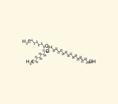 CCCCCCCOC(CCCCCCCCCCCC/C=C/CCO)OCCCCCCC